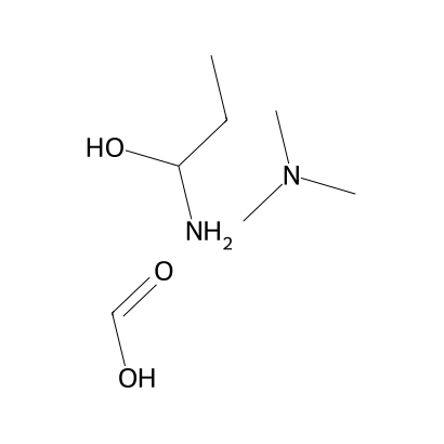 CCC(N)O.CN(C)C.O=CO